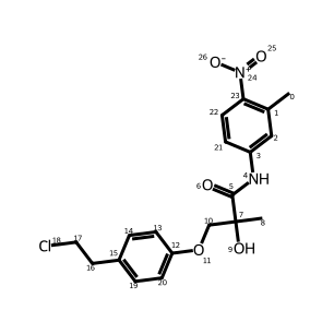 Cc1cc(NC(=O)C(C)(O)COc2ccc(CCCl)cc2)ccc1[N+](=O)[O-]